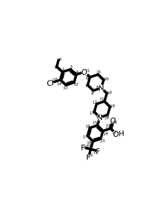 CCc1cc(OC2CCN(CC3CCN(c4ccc(C(F)(F)F)cc4C(=O)O)CC3)CC2)ccc1Cl